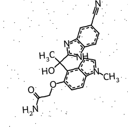 Cn1ccc2c(C(C)(O)c3nc4cc(C#N)ccc4[nH]3)c(OCC(N)=O)ccc21